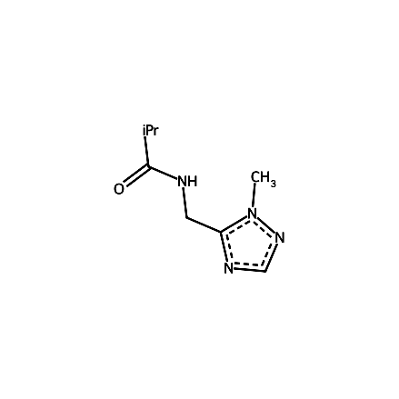 CC(C)C(=O)NCc1ncnn1C